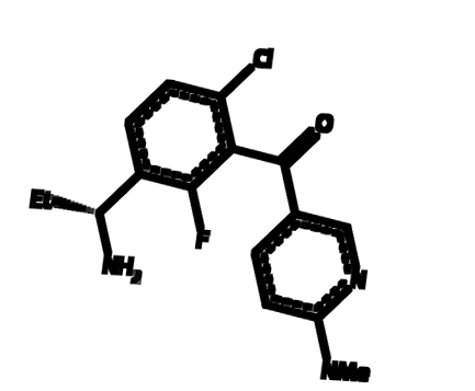 CC[C@@H](N)c1ccc(Cl)c(C(=O)c2ccc(NC)nc2)c1F